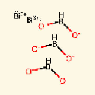 [Bi+3].[Bi+3].[O-]B[O-].[O-]B[O-].[O-]B[O-]